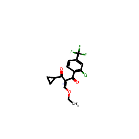 CCO/C=C(\C(=O)c1ccc(C(F)(F)F)cc1Cl)C(=O)C1CC1